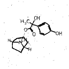 CN1[C@@H]2CC[C@H]1C[C@@H](OC(=O)C(C)(O)c1ccc(O)cc1)C2